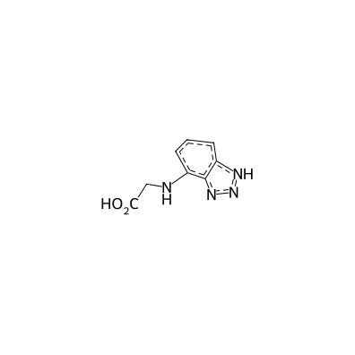 O=C(O)CNc1cccc2[nH]nnc12